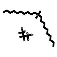 CCCCCCCCCC[N+](C)(C)CCCCCCCCCC.O=S(=O)([O-])C(F)(F)C(F)(F)F